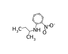 CCC(C)Nc1ccccc1[N+](=O)[O-]